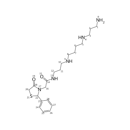 NCCCNCCCCNCCCNC(=O)CN1C(=O)CSC1c1ccccc1